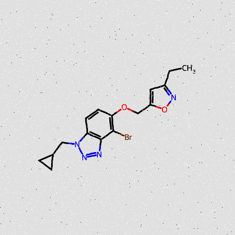 CCc1cc(COc2ccc3c(nnn3CC3CC3)c2Br)on1